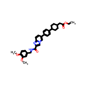 CCOC(=O)CC1CCC(c2ccc(-c3ccc4nc(C(=O)NCc5ccc(OC)c(OC)c5)cn4c3)cc2)CC1